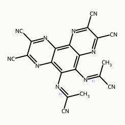 C/C(C#N)=N\c1c(/N=C(\C)C#N)c2nc(C#N)c(C#N)nc2c2nc(C#N)c(C#N)nc12